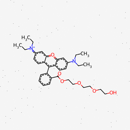 CCN(CC)c1ccc2c(-c3ccccc3C(=O)OCCOCCOCCO)c3ccc(=[N+](CC)CC)cc-3oc2c1